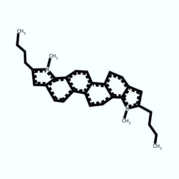 CCCCc1cc2ccc3c4ccc5c(ccc6cc(CCCC)n(C)c65)c4ccc3c2n1C